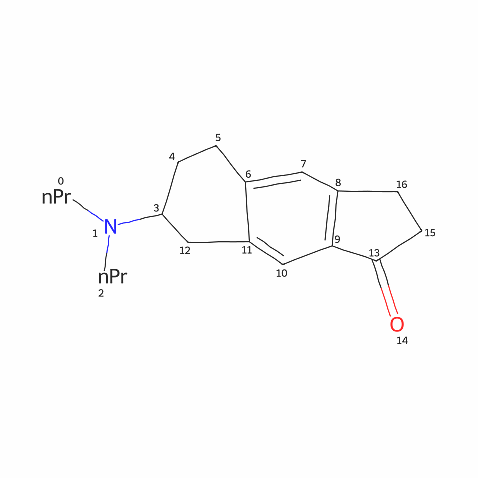 CCCN(CCC)C1CCc2cc3c(cc2C1)C(=O)CC3